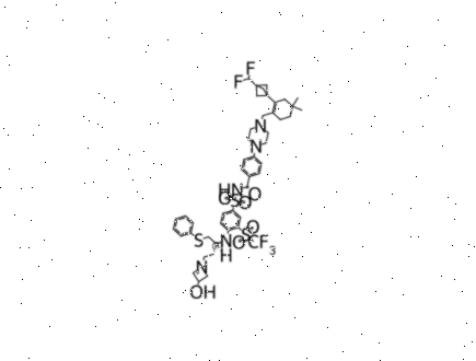 CC1(C)CCC(CN2CCN(c3ccc(C(=O)NS(=O)(=O)c4ccc(N[C@H](CCN5CC(O)C5)CSc5ccccc5)c(S(=O)(=O)C(F)(F)F)c4)cc3)CC2)=C(C23CC(C(F)F)(C2)C3)C1